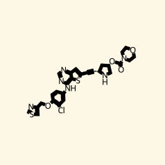 O=C(O[C@H]1CN[C@H](C#Cc2cc3ncnc(Nc4ccc(OCc5cscn5)c(Cl)c4)c3s2)C1)N1CCOCC1